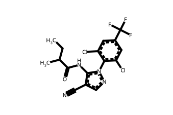 CCC(C)C(=O)Nc1c(C#N)cnn1-c1c(Cl)cc(C(F)(F)F)cc1Cl